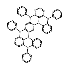 c1ccc(N2c3ccccc3B3c4cc5c(cc4N(c4ccccc4)c4cccc2c43)N(c2ccccc2)c2nccc3c2B5c2ccccc2N3c2ccccc2)cc1